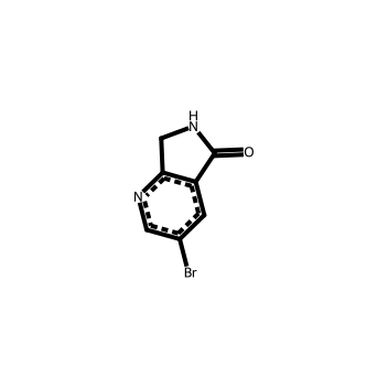 O=C1NCc2ncc(Br)cc21